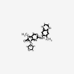 Cc1cc2nccnc2cc1Nc1ncc2c(n1)n([C@@H]1CCOC1)c(=O)n2C